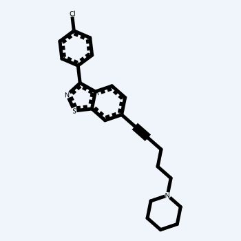 Clc1ccc(-c2nsc3cc(C#CCCCN4CCCCC4)ccc23)cc1